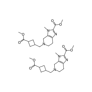 COC(=O)c1nc2c(n1C)CN(CC1CC(C(=O)OC)C1)CC2.COC(=O)c1nc2c(n1C)CN(CC1CC(C(=O)OC)C1)CC2